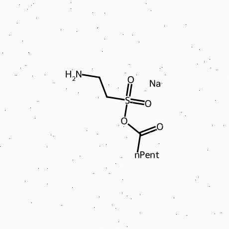 CCCCCC(=O)OS(=O)(=O)CCN.[Na]